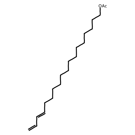 C=C/C=C/CCCCCCCCCCCCCCOC(C)=O